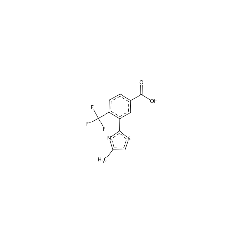 Cc1csc(-c2cc(C(=O)O)ccc2C(F)(F)F)n1